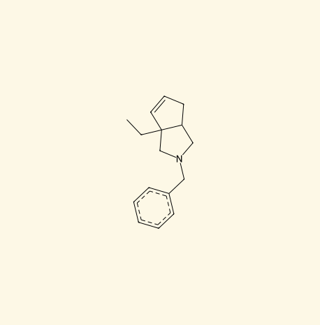 CCC12C=CCC1CN(Cc1ccccc1)C2